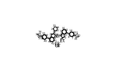 CCC1=Cc2c(-c3ccc([Si](C)(C)C)cc3)cccc2[CH]1[Zr+2][CH]1C(C2CCCC2)=Cc2c(-c3ccc([Si](C)(C)C)cc3)cccc21.[Cl-].[Cl-]